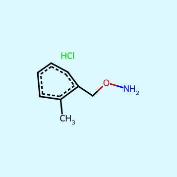 Cc1ccccc1CON.Cl